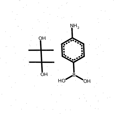 CC(C)(O)C(C)(C)O.Nc1ccc(B(O)O)cc1